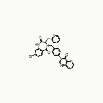 O=C1Nc2cc(Cl)ccc2C(=O)N(Cc2ccc(-n3cnc4cccnc4c3=O)cc2)C1Cc1ccccn1